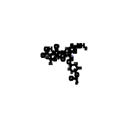 CC(=O)O[C@H]1CC[C@@H](O/N=C(\C(=O)N[C@@H]2C(=O)N3[C@@H]2SC(C)(C)[C@@H]3C(=O)O)c2csc(N)n2)CC1